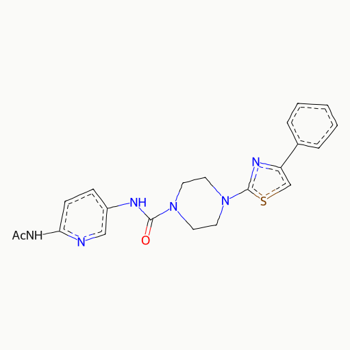 CC(=O)Nc1ccc(NC(=O)N2CCN(c3nc(-c4ccccc4)cs3)CC2)cn1